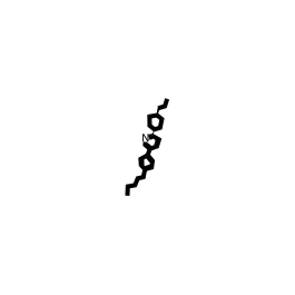 CCCCCc1ccc(-c2ccc([C@H]3CC[C@H](CCC)CC3)nc2)cc1